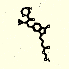 CCOC(=O)CCCn1cc(Cl)c2ccc(CN(C(=O)C3CNCCO3)C3CC3)cc21